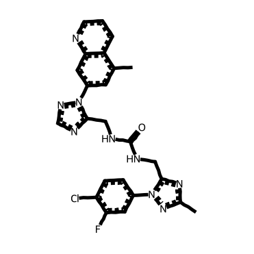 Cc1nc(CNC(=O)NCc2ncnn2-c2cc(C)c3cccnc3c2)n(-c2ccc(Cl)c(F)c2)n1